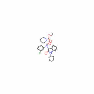 CCOC(=O)N1CCCC[C@H]1C(=O)N(c1cccc(F)c1)[C@@H]1C(=O)N(C2CCCCC2)c2ccccc21